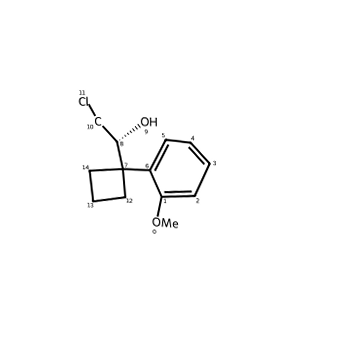 COc1ccccc1C1([C@@H](O)CCl)CCC1